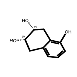 Oc1cccc2c1C[C@@H](O)[C@@H](O)C2